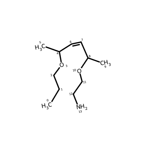 CCCOC(C)/C=C\C(C)OCCN